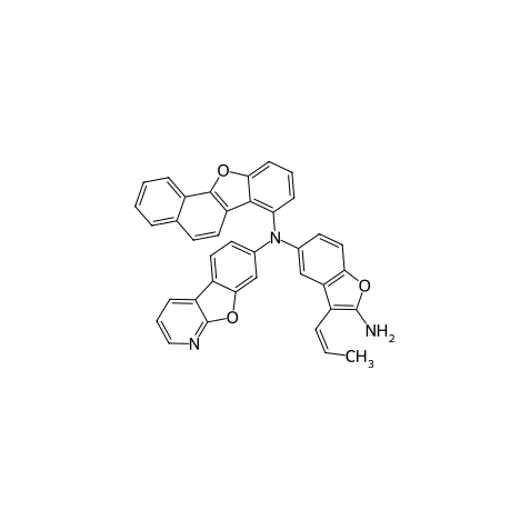 C/C=C\c1c(N)oc2ccc(N(c3ccc4c(c3)oc3ncccc34)c3cccc4oc5c6ccccc6ccc5c34)cc12